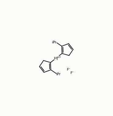 CC(C)C1=[C]([Hf+2][C]2=C(C(C)C)C=CC2)CC=C1.[F-].[F-]